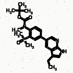 CCc1c[nH]c2ncc(-c3ccc(N(C)C(=O)OC(C)(C)C)c(P(C)(C)=O)c3)cc12